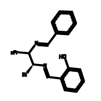 CCCC(/N=C/c1ccccc1)[C@@H](CC)/N=C/c1ccccc1O